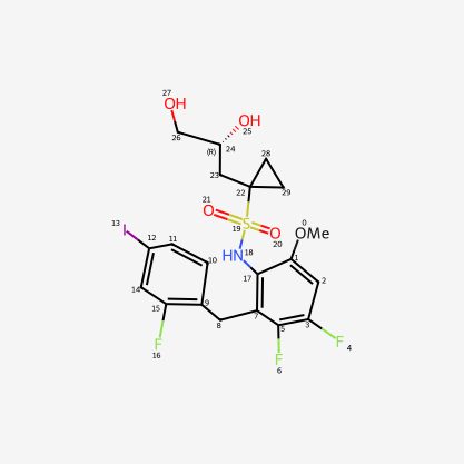 COc1cc(F)c(F)c(Cc2ccc(I)cc2F)c1NS(=O)(=O)C1(C[C@@H](O)CO)CC1